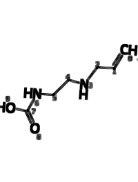 C=CCNCCNC(=O)O